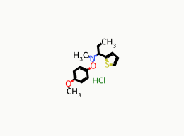 CCC(c1cccs1)N(C)Oc1ccc(OC)cc1.Cl